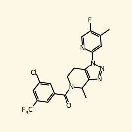 Cc1cc(-n2nnc3c2CCN(C(=O)c2cc(Cl)cc(C(F)(F)F)c2)C3C)ncc1F